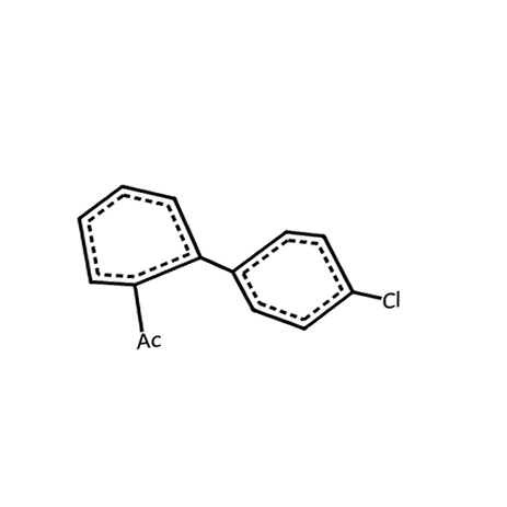 CC(=O)c1ccccc1-c1ccc(Cl)cc1